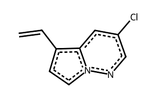 C=Cc1ccn2ncc(Cl)cc12